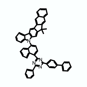 CC1(C)c2cc3ccccc3cc2-c2cc3c4ccccc4n(-c4ccc(-c5nc(-c6ccccc6)nc(-c6ccc(-c7ccccc7)cc6)n5)c5ccccc45)c3cc21